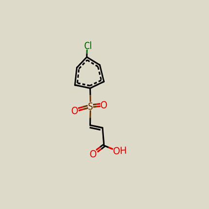 O=C(O)C=CS(=O)(=O)c1ccc(Cl)cc1